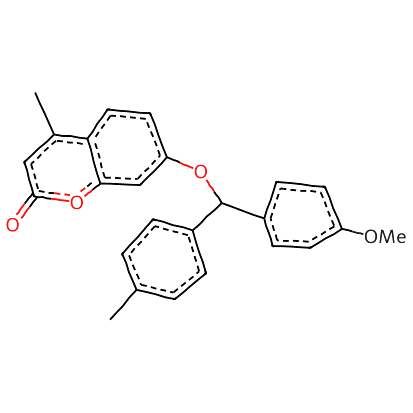 COc1ccc(C(Oc2ccc3c(C)cc(=O)oc3c2)c2ccc(C)cc2)cc1